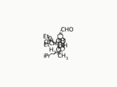 CC(C)CCC[C@@H](C)[C@H]1CC[C@H]2[C@@H]3CC=C4C[C@@H](CC=O)CC[C@]4(C)[C@H]3CC[C@]12C.CCOC(C)OCC